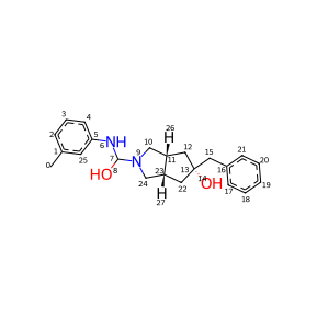 Cc1cccc(NC(O)N2C[C@@H]3C[C@@](O)(Cc4ccccc4)C[C@@H]3C2)c1